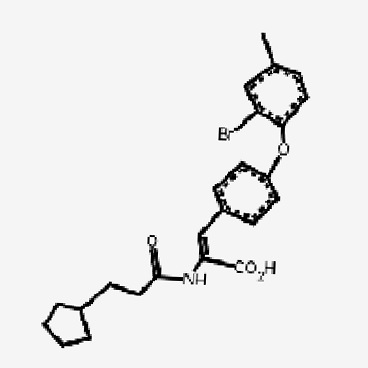 Cc1ccc(Oc2ccc(/C=C(/NC(=O)CCC3CCCC3)C(=O)O)cc2)c(Br)c1